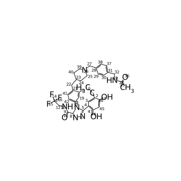 CCc1cc(-c2nnc(C(=O)NCC(F)(F)F)n2-c2ccc(CC3CCN(Cc4ccc(CNC(C)=O)cc4)CC3)cc2)c(O)cc1O